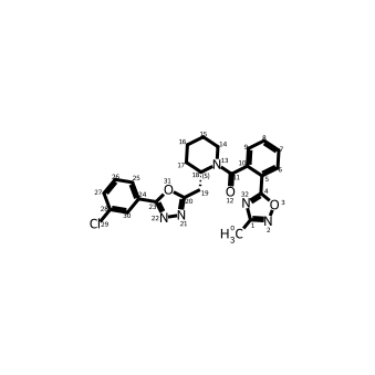 Cc1noc(-c2ccccc2C(=O)N2CCCC[C@H]2Cc2nnc(-c3cccc(Cl)c3)o2)n1